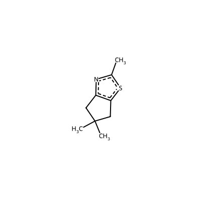 Cc1nc2c(s1)CC(C)(C)C2